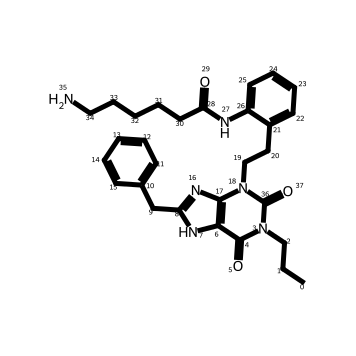 CCCn1c(=O)c2[nH]c(Cc3ccccc3)nc2n(CCc2ccccc2NC(=O)CCCCCN)c1=O